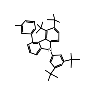 Cc1cccc(-c2cccc3c2c2c(C(C)(C)C)c(C(C)(C)C)ccc2n3-c2cc(C(C)(C)C)cc(C(C)(C)C)c2)c1